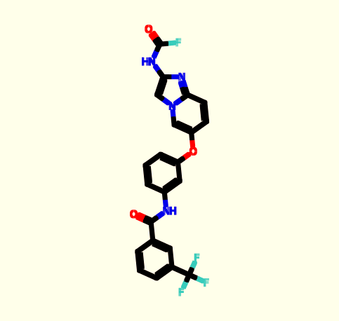 O=C(F)Nc1cn2cc(Oc3cccc(NC(=O)c4cccc(C(F)(F)F)c4)c3)ccc2n1